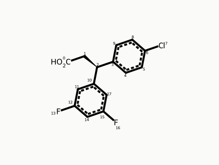 O=C(O)C[C@@H](c1ccc(Cl)cc1)c1cc(F)cc(F)c1